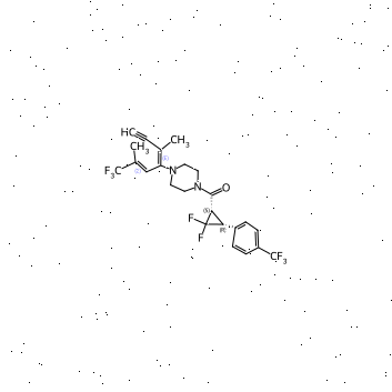 C#C/C(C)=C(\C=C(/C)C(F)(F)F)N1CCN(C(=O)[C@@H]2[C@H](c3ccc(C(F)(F)F)cc3)C2(F)F)CC1